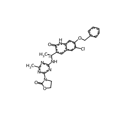 Cc1nc(N[C@@H](C)c2cc3cc(Cl)c(OCc4ccccc4)cc3[nH]c2=O)nc(N2CCOC2=O)n1